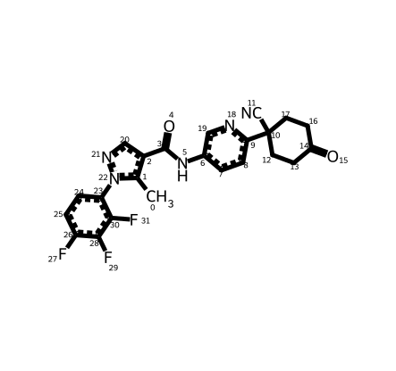 Cc1c(C(=O)Nc2ccc(C3(C#N)CCC(=O)CC3)nc2)cnn1-c1ccc(F)c(F)c1F